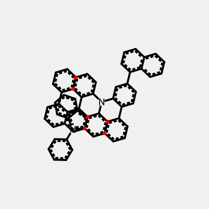 c1ccc(-c2ccc(-c3cccc4ccccc34)cc2N(c2ccccc2-c2cccc3cccc(-c4ccccc4)c23)c2cccc3c2c2ccccc2n3-c2ccccc2)cc1